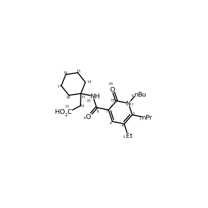 CCCCn1c(CCC)c(CC)cc(C(=O)NC2(CC(=O)O)CCCCC2)c1=O